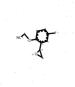 N#CCOc1ccc(F)cc1C1CO1